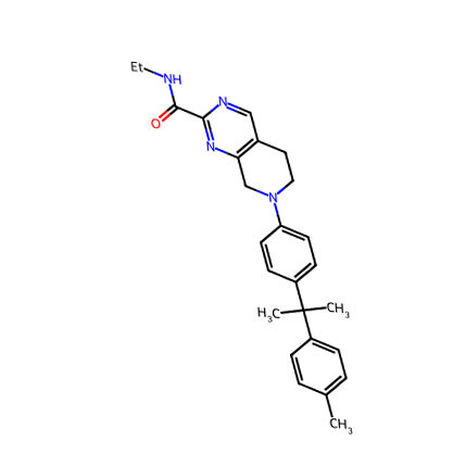 CCNC(=O)c1ncc2c(n1)CN(c1ccc(C(C)(C)c3ccc(C)cc3)cc1)CC2